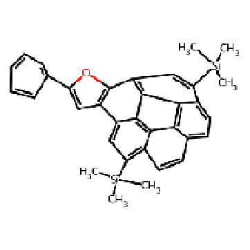 C[Si](C)(C)c1cc2c3cc(-c4ccccc4)oc3c3cc([Si](C)(C)C)c4ccc5ccc1c1c5c4c3c21